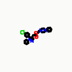 O=C(Cc1cnn(-c2ccccc2)c1-c1ccc(Cl)cc1)OCCN1CCN(c2ccccc2)CC1